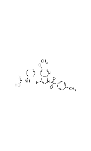 COc1cnc2c(c(I)cn2S(=O)(=O)c2ccc(C)cc2)c1C1=CCCC(NC(=O)O)C1